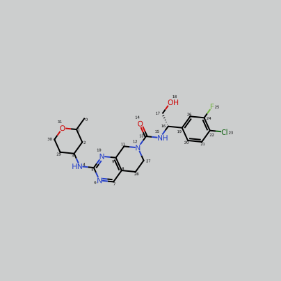 CC1CC(Nc2ncc3c(n2)CN(C(=O)N[C@H](CO)c2ccc(Cl)c(F)c2)CC3)CCO1